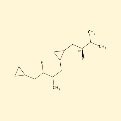 CC(CC1CC1C[C@H](F)C(C)C)C(F)CC1CC1